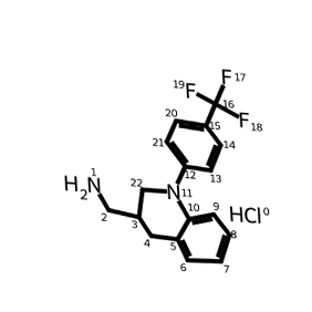 Cl.NCC1Cc2ccccc2N(c2ccc(C(F)(F)F)cc2)C1